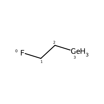 FC[CH2][GeH3]